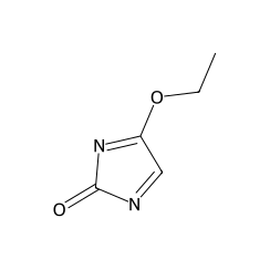 CCOC1=NC(=O)N=C1